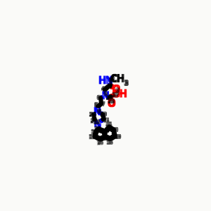 CNC(=O)CN(CCCN1CCN(c2cccc3ccccc23)CC1)C(=O)O